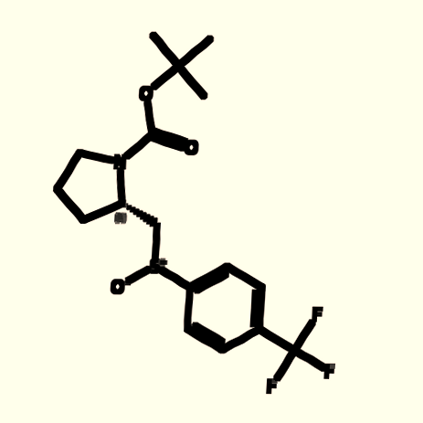 CC(C)(C)OC(=O)N1CCC[C@H]1C[S+]([O-])c1ccc(C(F)(F)F)cc1